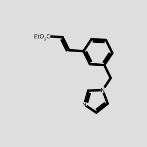 CCOC(=O)C=Cc1cccc(Cn2ccnc2)c1